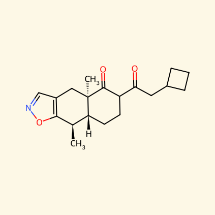 C[C@H]1c2oncc2C[C@@]2(C)C(=O)C(C(=O)CC3CCC3)CC[C@H]12